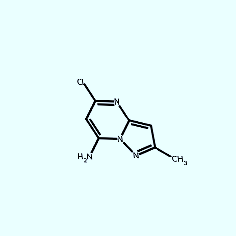 Cc1cc2nc(Cl)cc(N)n2n1